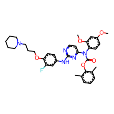 COc1ccc(N(C(=O)Oc2c(C)cccc2C)c2ccnc(Nc3ccc(OCCCN4CCCCC4)c(F)c3)n2)c(OC)c1